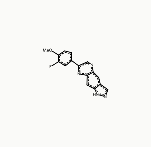 COc1ccc(-c2cnc3cc4cn[nH]c4cc3n2)cc1F